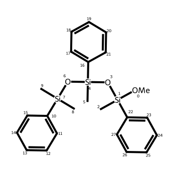 CO[Si](C)(O[Si](C)(O[Si](C)(C)c1ccccc1)c1ccccc1)c1ccccc1